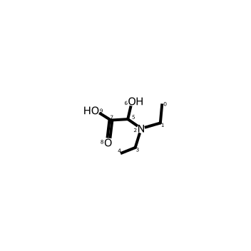 CCN(CC)C(O)C(=O)O